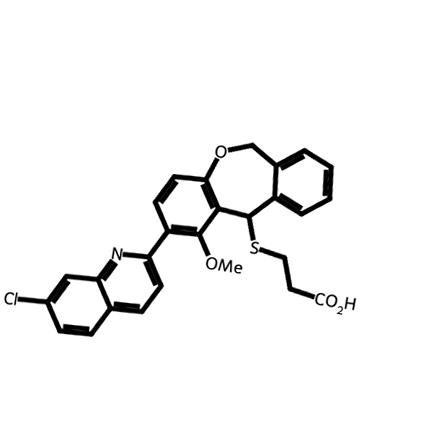 COc1c(-c2ccc3ccc(Cl)cc3n2)ccc2c1C(SCCC(=O)O)c1ccccc1CO2